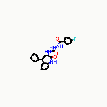 O=C(NNC(=O)c1ccc(F)cc1)NC1C=C(c2ccccc2)c2ccccc2NC1=O